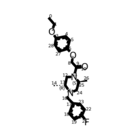 CCOc1ccc(OCC(=O)N2C[C@@H](C)N(Cc3ccc(F)cc3)C[C@@H]2C)cc1